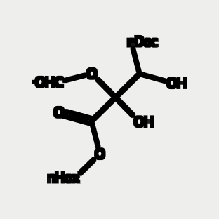 CCCCCCCCCCC(O)C(O)(O[C]=O)C(=O)OCCCCCC